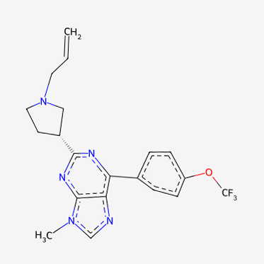 C=CCN1CC[C@@H](c2nc(-c3ccc(OC(F)(F)F)cc3)c3ncn(C)c3n2)C1